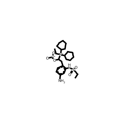 CC[N+](C1CCCCC1)(C1CCCCC1)C(Cc1ccc(N)cc1NS(=O)(=O)CC)O[I+2]([O-])[O-]